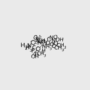 Cc1cc(C(Nc2ccc3c(N(C(=O)O)C(=O)OC(C)(C)C)nccc3c2)C(=O)N(C)Cc2cc(N)ccc2S(=O)(=O)C2CC2)cc(C)c1C(F)(F)CO